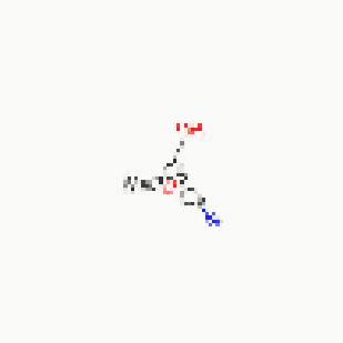 COc1cc(CCCO)cc2cc(-c3ccc(N(C)C)cc3)oc12